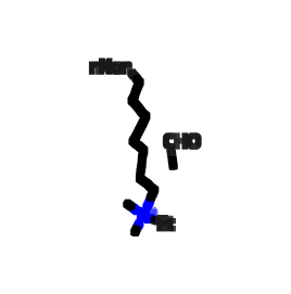 CC=O.CCCCCCCCCCCCCCCC[N+](C)(C)CC